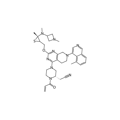 C=CC(=O)N1CCN(c2nc(OCC3S[C@]3(C)N(C)C3CN(C)C3)nc3c2CCN(c2cncc4cccc(C)c24)C3)C[C@@H]1CC#N